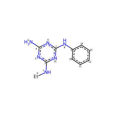 CCNc1nc(N)nc(Nc2ccccc2)n1